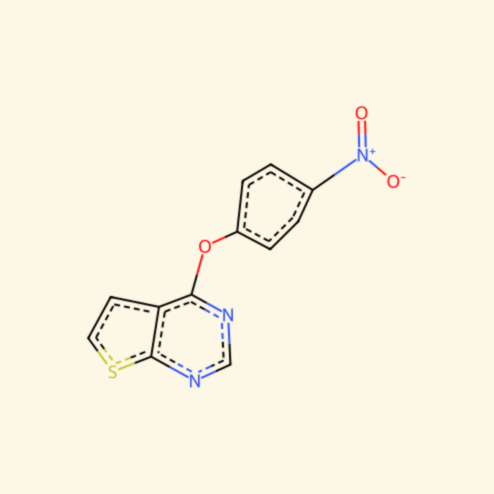 O=[N+]([O-])c1ccc(Oc2ncnc3sccc23)cc1